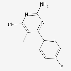 Cc1c(Cl)nc(N)nc1-c1ccc(F)cc1